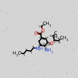 CCCCCN[C@H]1CC(C(=O)OCC)=C[C@@H](OC(CC)CC)[C@@H]1N